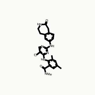 CNC(=O)c1cc(C)cc(C)c1Nc1nc(Nc2ccc3c(c2)CCNC(=O)C3)ncc1Cl